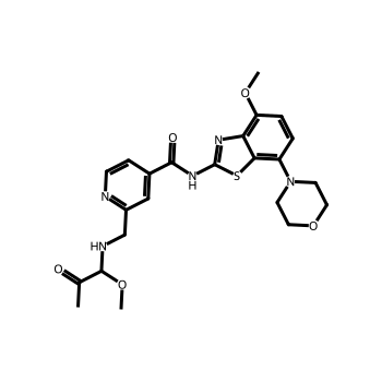 COc1ccc(N2CCOCC2)c2sc(NC(=O)c3ccnc(CNC(OC)C(C)=O)c3)nc12